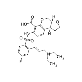 CCN(CC)CC=Cc1cc(F)ccc1S(=O)(=O)Nc1ccc2c(c1C(=O)O)OC[C@@H]1OCC[C@H]21